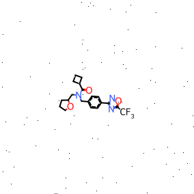 O=C(C1CCC1)N(Cc1ccc(-c2noc(C(F)(F)F)n2)cc1)CC1CCCO1